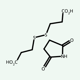 O=C(O)CCSSCCC(=O)O.O=C1CCC(=O)N1